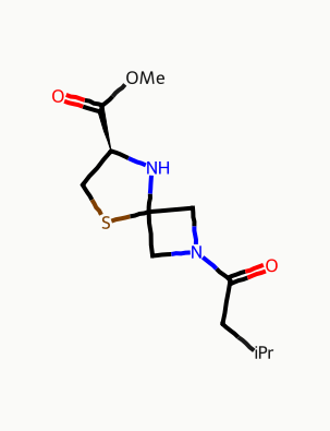 COC(=O)[C@@H]1CSC2(CN(C(=O)CC(C)C)C2)N1